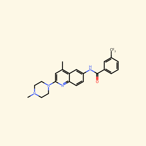 Cc1cc(N2CCN(C)CC2)nc2ccc(NC(=O)c3cccc(C(F)(F)F)c3)cc12